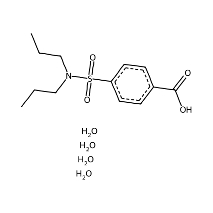 CCCN(CCC)S(=O)(=O)c1ccc(C(=O)O)cc1.O.O.O.O